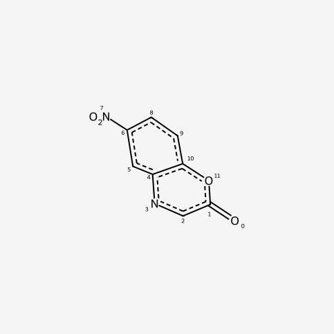 O=c1cnc2cc([N+](=O)[O-])ccc2o1